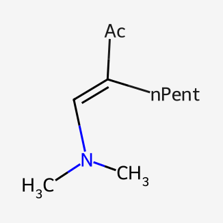 CCCCC/C(=C\N(C)C)C(C)=O